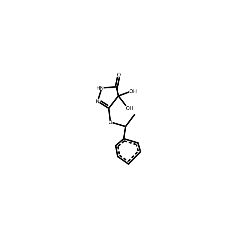 CC(OC1=NNC(=O)C1(O)O)c1ccccc1